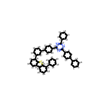 c1ccc(-c2ccc(-c3nc(-c4ccccc4)nc(-c4ccc(-c5cccc(-c6cccc7c6sc6c(-c8ccccc8)cccc67)c5)cc4)n3)cc2)cc1